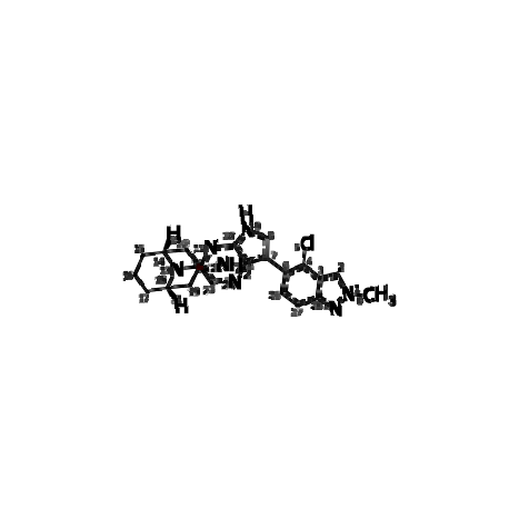 Cn1cc2c(Cl)c(-c3c[nH]c4nc(N5[C@@H]6CCC[C@H]5C[C@@H](N)C6)cnc34)ccc2n1